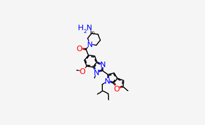 CCC(C)Cn1c(-c2nc3cc(C(=O)N4CCC[C@@H](N)C4)cc(OC)c3n2C)cc2cc(C)oc21